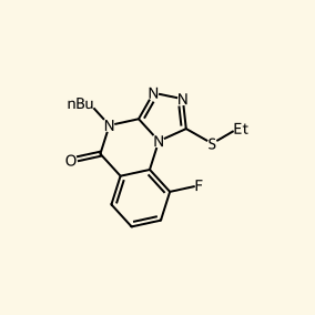 CCCCn1c(=O)c2cccc(F)c2n2c(SCC)nnc12